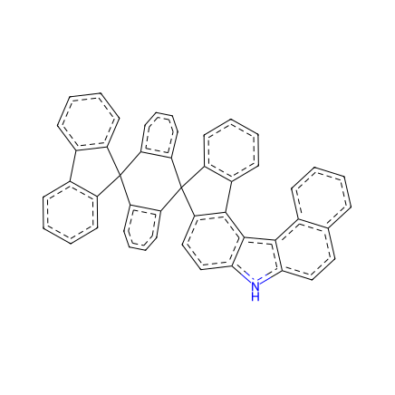 c1ccc2c(c1)-c1ccccc1C21c2ccccc2C2(c3ccccc3-c3c2ccc2[nH]c4ccc5ccccc5c4c32)c2ccccc21